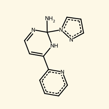 NC1(n2cccn2)N=CC=C(c2ccccn2)N1